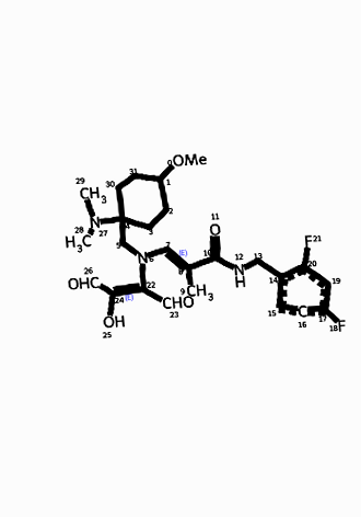 COC1CCC(CN(/C=C(\C)C(=O)NCc2ccc(F)cc2F)/C(C=O)=C(/O)C=O)(N(C)C)CC1